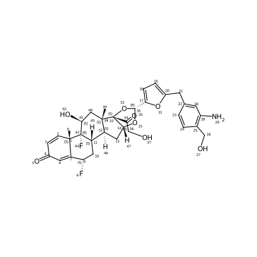 C[C@]12C=CC(=O)C=C1[C@@H](F)C[C@H]1[C@@H]3C[C@H]4O[C@@H](c5ccc(Cc6ccc(CO)c(N)c6)o5)O[C@@]4(C(=O)CO)[C@@]3(C)C[C@H](O)[C@@]12F